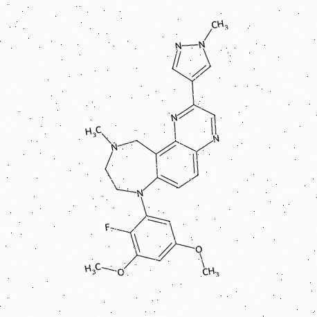 COc1cc(OC)c(F)c(N2CCN(C)Cc3c2ccc2ncc(-c4cnn(C)c4)nc32)c1